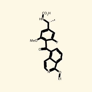 CCOc1nccc2c(C(=O)c3c(F)cc([C@@H](C)NC(=O)O)cc3OC)cccc12